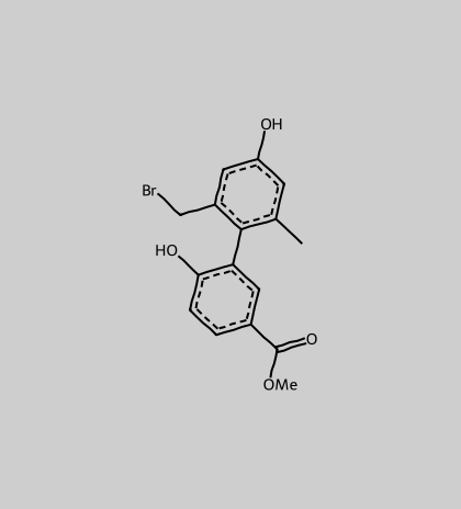 COC(=O)c1ccc(O)c(-c2c(C)cc(O)cc2CBr)c1